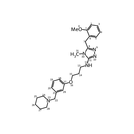 COc1ccccc1Cc1nnc(NCCCOc2cccc(CN3CCCCC3)c2)n1C